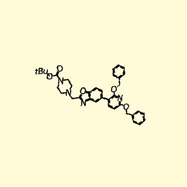 CC(C)(C)OC(=O)N1CCN(Cc2nc3cc(-c4ccc(OCc5ccccc5)nc4OCc4ccccc4)ccc3o2)CC1